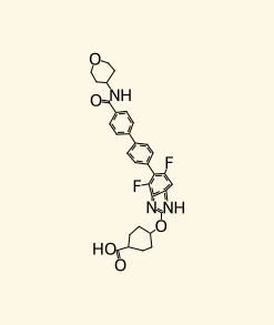 O=C(NC1CCOCC1)c1ccc(-c2ccc(-c3c(F)cc4[nH]c(OC5CCC(C(=O)O)CC5)nc4c3F)cc2)cc1